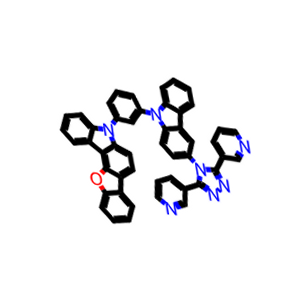 c1cncc(-c2nnc(-c3cccnc3)n2-c2ccc3c(c2)c2ccccc2n3-c2cccc(-n3c4ccccc4c4c5oc6ccccc6c5ccc43)c2)c1